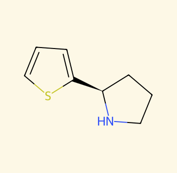 c1csc([C@H]2CCCN2)c1